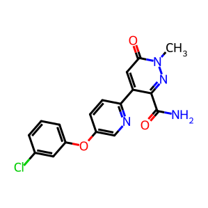 Cn1nc(C(N)=O)c(-c2ccc(Oc3cccc(Cl)c3)cn2)cc1=O